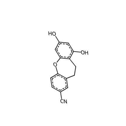 N#Cc1ccc2c(c1)CCc1c(O)cc(O)cc1O2